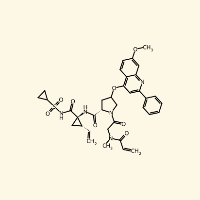 C=CC(=O)N(C)CC(=O)N1CC(Oc2cc(-c3ccccc3)nc3cc(OC)ccc23)C[C@H]1C(=O)N[C@]1(C(=O)NS(=O)(=O)C2CC2)C[C@H]1C=C